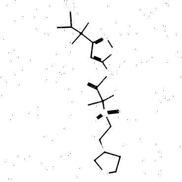 CC(O)C(C)(C)c1cc(NC(=O)C(C)(C)S(=O)(=O)CC[C@H]2CCOC2)on1